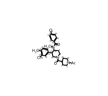 CC(=O)N1CCC(C(=O)N2CCC(N(C)C(=O)c3ccc(Cl)cc3)C(c3ccc(C)c(Cl)c3)C2)CC1